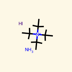 CC(C)(C)[N+](C(C)(C)C)(C(C)(C)C)C(C)(C)C.I.N